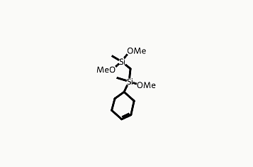 CO[Si](C)(C[Si](C)(OC)C1CC=CCC1)OC